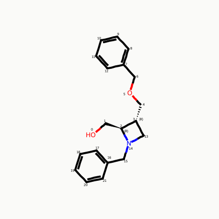 OC[C@H]1[C@H](COCc2ccccc2)CN1Cc1ccccc1